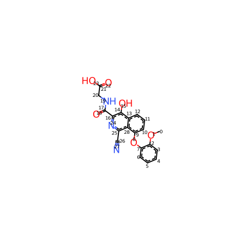 COc1ccccc1Oc1cccc2c(O)c(C(=O)NCC(=O)O)nc(C#N)c12